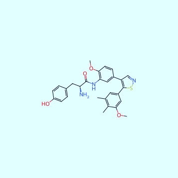 COc1ccc(-c2cnsc2-c2cc(C)c(C)c(OC)c2)cc1NC(=O)[C@@H](N)Cc1ccc(O)cc1